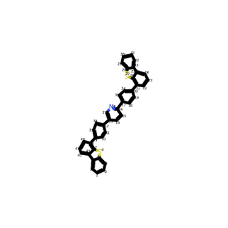 c1ccc2c(c1)sc1c(-c3ccc(-c4ccc(-c5ccc(-c6cccc7c6sc6ccccc67)cc5)nc4)cc3)cccc12